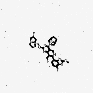 C=Nc1nc2c(-c3ncc4c(N5CC6CCC(C5)N6)nc(OC[C@]56CCCN5C[C@H](F)C6)nc4c3CF)ccc(F)c2s1